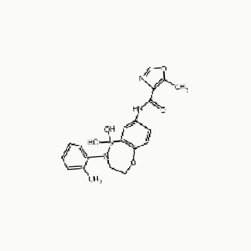 Cc1ccccc1N1CCOc2ccc(NC(=O)c3ncoc3C)cc2S1(O)O